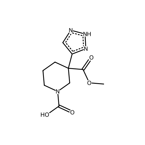 COC(=O)C1(c2cn[nH]n2)CCCN(C(=O)O)C1